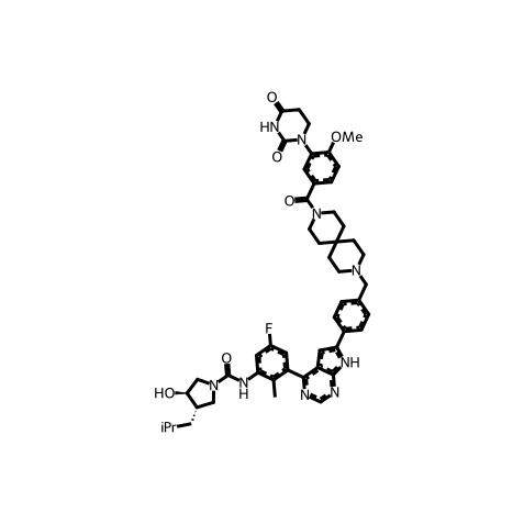 COc1ccc(C(=O)N2CCC3(CCN(Cc4ccc(-c5cc6c(-c7cc(F)cc(NC(=O)N8C[C@H](CC(C)C)[C@@H](O)C8)c7C)ncnc6[nH]5)cc4)CC3)CC2)cc1N1CCC(=O)NC1=O